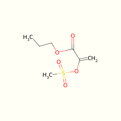 C=C(OS(C)(=O)=O)C(=O)OCCC